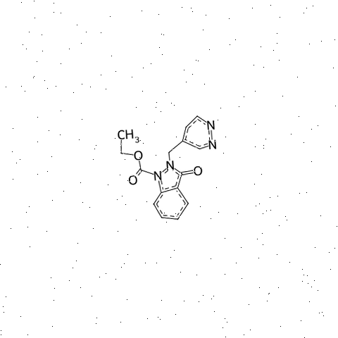 CCOC(=O)n1c2ccccc2c(=O)n1Cc1ccnnc1